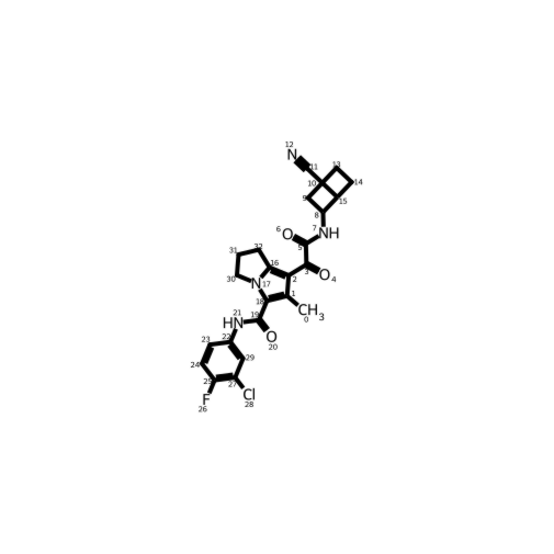 Cc1c(C(=O)C(=O)NC2CC3(C#N)CCC23)c2n(c1C(=O)Nc1ccc(F)c(Cl)c1)CCC2